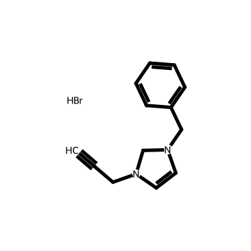 Br.C#CCN1C=CN(Cc2ccccc2)C1